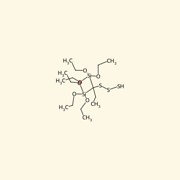 CCO[Si](OCC)(OCC)C(CC)(SSS)[Si](OCC)(OCC)OCC